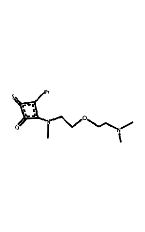 CC(C)c1c(N(C)CCOCCN(C)C)c(=O)c1=S